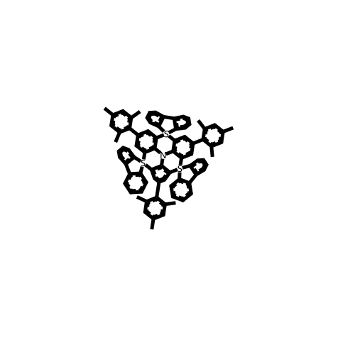 Cc1cc(C)c(-c2cc3c4c(c2)S2(c5ccccc5-c5ccccc52)c2cc(-c5c(C)cc(C)cc5C)cc5c2N4c2c(cc(-c4c(C)cc(C)cc4C)cc2S52c4ccccc4-c4ccccc42)S32c3ccccc3-c3ccccc32)c(C)c1